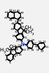 CC1(C)c2ccccc2-c2ccc(N(c3ccc(-c4ccccc4)cc3)c3ccc4c(c3)C(C)(C)c3cc(-c5cccc6ccccc56)ccc3-4)cc21